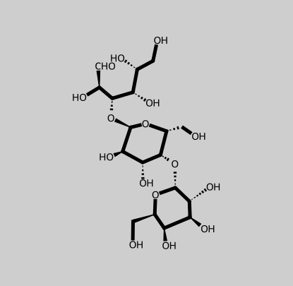 O=C[C@H](O)[C@@H](O[C@H]1O[C@H](CO)[C@H](O[C@H]2O[C@H](CO)[C@H](O)[C@H](O)[C@H]2O)[C@H](O)[C@H]1O)[C@@H](O)[C@H](O)CO